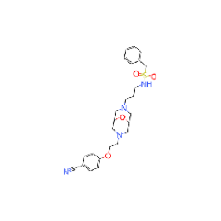 N#Cc1ccc(OCCN2CC3CN(CCCNS(=O)(=O)Cc4ccccc4)CC(C2)O3)cc1